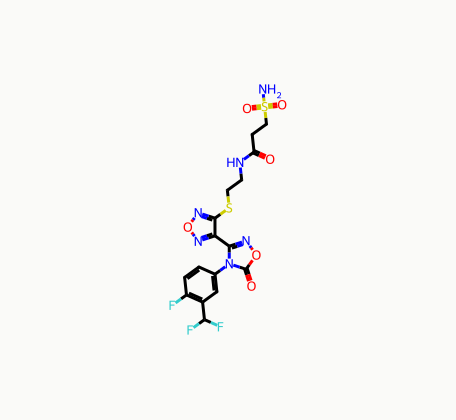 NS(=O)(=O)CCC(=O)NCCSc1nonc1-c1noc(=O)n1-c1ccc(F)c(C(F)F)c1